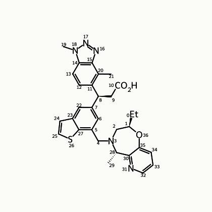 CC[C@@H]1CN(Cc2cc([C@H](CC(=O)O)c3ccc4c(nnn4C)c3C)cc3ccsc23)[C@@H](C)c2ncccc2O1